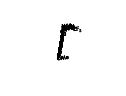 COCCOCCOCCOCCOCCOCCOCCOCCC(=O)N1CCC[C@@H](c2nc(-c3ccc(C(=O)Nc4cc(C(F)(F)F)ccn4)cc3)c3c(N)nccn23)C1